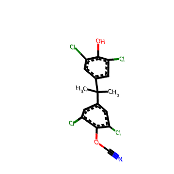 CC(C)(c1cc(Cl)c(O)c(Cl)c1)c1cc(Cl)c(OC#N)c(Cl)c1